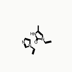 C=Cn1cc(C)[nH]c1=O.C=Cn1ccnc1